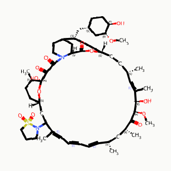 CO[C@@H]1C[C@H](C[C@H]2C3CCN4C(=O)C(=O)[C@]5(O)O[C@@H](CC[C@H]5C)CC(N5CCCS5(=O)=O)/C(C)=C/C=C/C=C/[C@@H](C)C[C@@H](C)C(=O)[C@H](OC)[C@H](O)/C(C)=C/[C@@H](C)CC[C@@H]2OC(=O)[C@@H]4C3)CC[C@H]1O